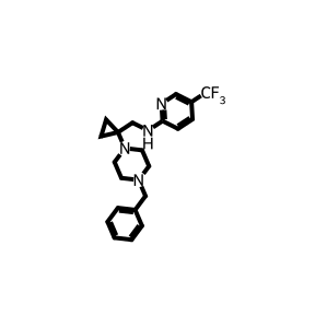 FC(F)(F)c1ccc(NCC2(N3CCN(Cc4ccccc4)CC3)CC2)nc1